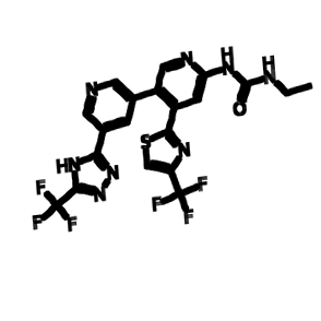 CCNC(=O)Nc1cc(-c2nc(C(F)(F)F)cs2)c(-c2cncc(-c3nnc(C(F)(F)F)[nH]3)c2)cn1